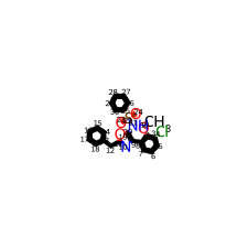 COc1c(Cl)cccc1-c1nc(Cc2ccccc2)oc1NS(=O)(=O)c1ccccc1